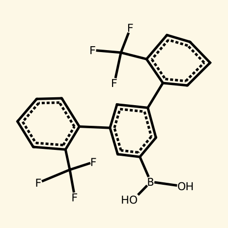 OB(O)c1cc(-c2ccccc2C(F)(F)F)cc(-c2ccccc2C(F)(F)F)c1